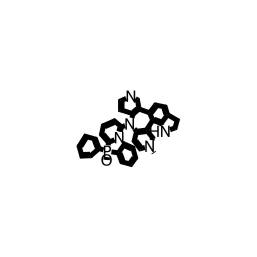 CN1C=CC2=C(C1)c1c(ccc3c1NCC3)-c1cnccc1N2c1cccc(P(=O)(c2ccccc2)c2ccccc2)n1